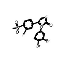 CS(=O)(=O)c1ccc(-c2csc(=O)n2-c2ccc(Br)c(Br)c2)cc1F